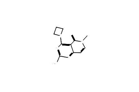 CSc1nc(N2CCC2)c2c(=O)n(C)ccc2n1